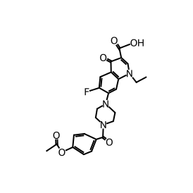 CCn1cc(C(=O)O)c(=O)c2cc(F)c(N3CCN(C(=O)c4ccc(OC(C)=O)cc4)CC3)cc21